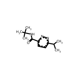 CC(C)c1ccc(C(=O)NC(C)(C)C)nn1